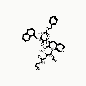 CCC(C)CNC(=O)C[C@H](O)[C@H](CC(C)C)NC(=O)C(Cc1ccncc1)NC(=O)[C@H](Cc1cccc2ccccc12)NC(=O)OCc1ccccc1